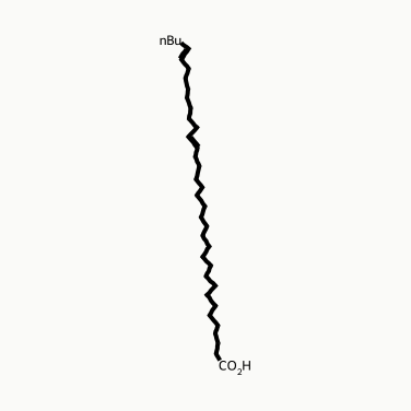 CCCCC=CCCCCCCCC=CCCCCCCCCCCCCCCCCCCCCCC(=O)O